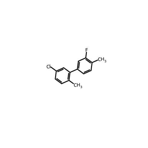 Cc1ccc(-c2cc(Cl)ccc2C)cc1F